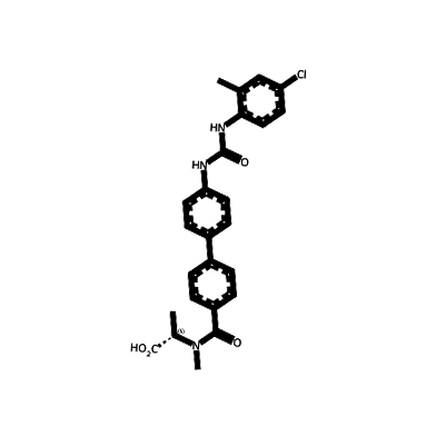 Cc1cc(Cl)ccc1NC(=O)Nc1ccc(-c2ccc(C(=O)N(C)[C@@H](C)C(=O)O)cc2)cc1